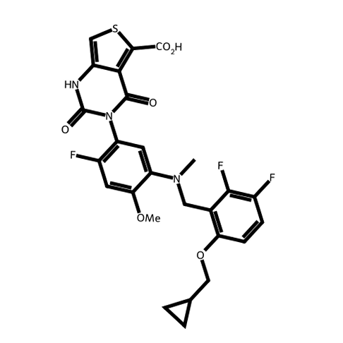 COc1cc(F)c(-n2c(=O)[nH]c3csc(C(=O)O)c3c2=O)cc1N(C)Cc1c(OCC2CC2)ccc(F)c1F